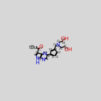 CC(C)(C)C(=O)c1c[nH]c2ncc(-c3cccc(CN(CCO)CCO)c3)nc12